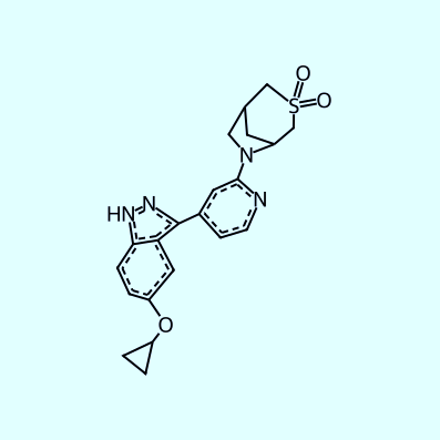 O=S1(=O)CC2CC(C1)N(c1cc(-c3n[nH]c4ccc(OC5CC5)cc34)ccn1)C2